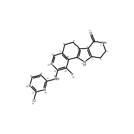 O=C1NCCc2[nH]c3c(c21)CCc1cnc(Nc2ccnc(Cl)n2)c(F)c1-3